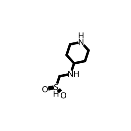 O=[SH](=O)CNC1CCNCC1